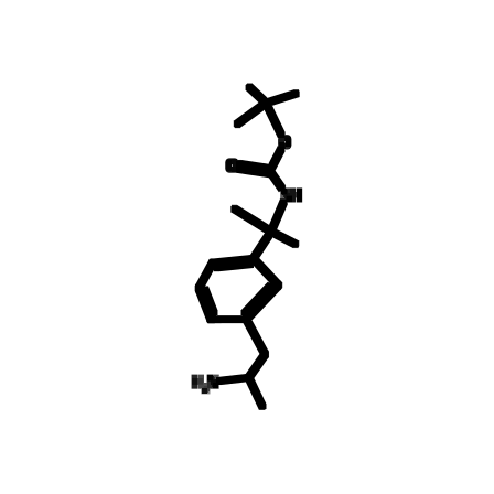 CC(N)Cc1cccc(C(C)(C)NC(=O)OC(C)(C)C)c1